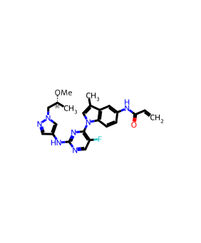 C=CC(=O)Nc1ccc2c(c1)c(C)cn2-c1nc(Nc2cnn(C[C@@H](C)OC)c2)ncc1F